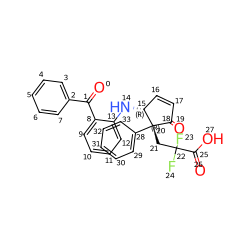 O=C(c1ccccc1)c1ccccc1N[C@@H]1C=CC(=O)[C@]1(CC(F)(F)C(=O)O)c1ccccc1